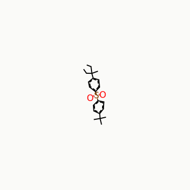 CCC(C)(CC)c1ccc(S(=O)(=O)c2ccc(C(C)(C)C)cc2)cc1